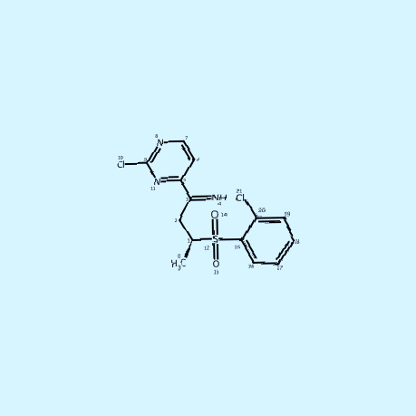 C[C@@H](CC(=N)c1ccnc(Cl)n1)S(=O)(=O)c1ccccc1Cl